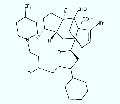 CCN(CCN1CCC(C(F)(F)F)CC1)C[C@@H]1O[C@@H](C23C[C@@H]4[C@H](C)CC[C@H]4C4(C=O)CC2C=C(C(C)C)[C@]43C(=O)O)CC1C1CCCCC1